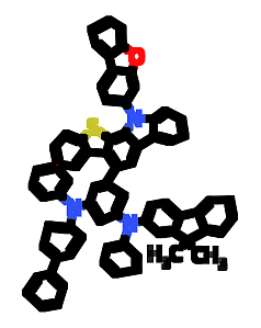 CC1(C)c2ccccc2-c2ccc(N(c3ccccc3)c3cc(-c4cc5c6ccccc6n(-c6ccc7c(c6)oc6ccccc67)c5c5sc6ccccc6c45)cc(N(c4ccccc4)c4ccc(-c5ccccc5)cc4)c3)cc21